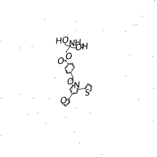 NC(CO)(CO)COC(=O)c1ccc(COc2cc(-c3ccco3)cc(-c3cccs3)n2)cc1